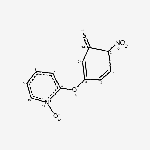 O=[N+]([O-])C1C=CC(Oc2cccc[n+]2[O-])=CC1=S